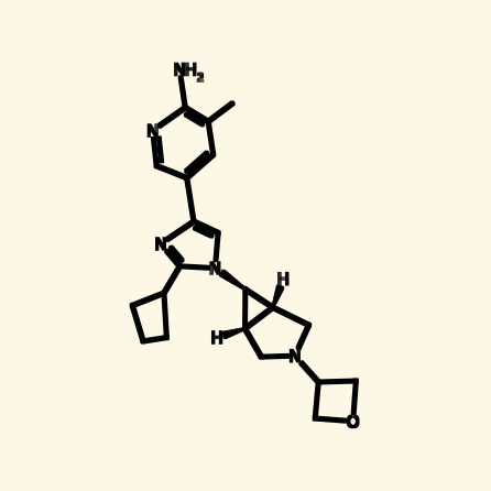 Cc1cc(-c2cn([C@H]3[C@@H]4CN(C5COC5)C[C@@H]43)c(C3CCC3)n2)cnc1N